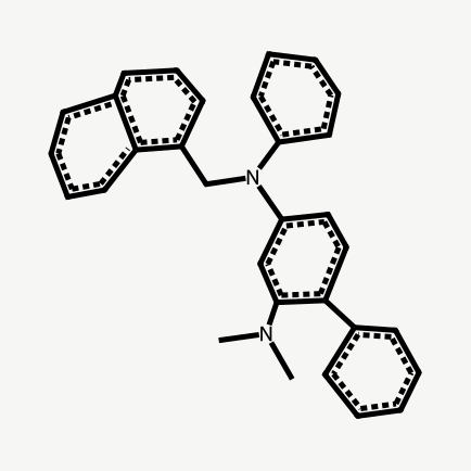 CN(C)c1cc(N(Cc2cccc3ccccc23)c2ccccc2)ccc1-c1ccccc1